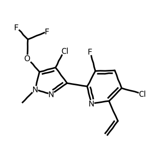 C=Cc1nc(-c2nn(C)c(OC(F)F)c2Cl)c(F)cc1Cl